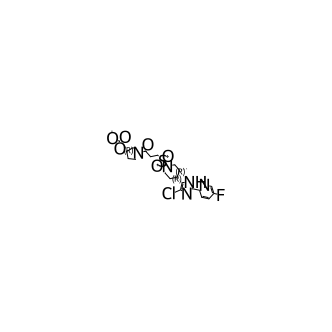 COC(=O)O[C@@H]1CCN(C(=O)CCS(=O)(=O)N2CC[C@@H](c3[nH]c(-c4ccc(F)cn4)nc3Cl)[C@@H](C)C2)C1